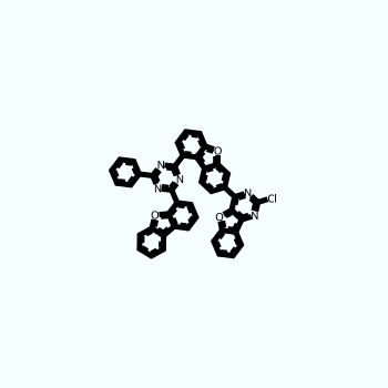 Clc1nc(-c2ccc3c(c2)oc2cccc(-c4nc(-c5ccccc5)nc(-c5cccc6c5oc5ccccc56)n4)c23)c2oc3ccccc3c2n1